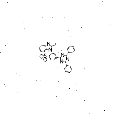 CCc1nc2cccc3c2n1-c1cc(-c2nc(-c4ccccc4)nc(-c4ccccc4)n2)ccc1S3(=O)=O